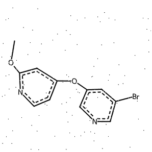 COc1cc(Oc2cncc(Br)c2)ccn1